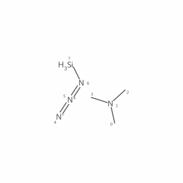 CN(C)C.[N-]=[N+]=N[SiH3]